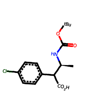 C[C@H](NC(=O)OC(C)(C)C)C(C(=O)O)c1ccc(Cl)cc1